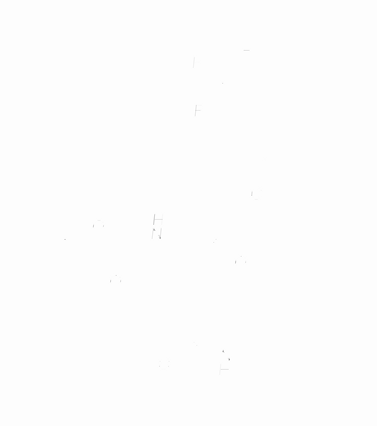 CC(C)(C)OC(=O)N[C@@H](C[C@@H]1CCNC1=O)C(=O)COc1cccc(C(F)(F)F)c1